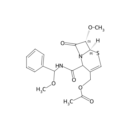 COC(NC(=O)C1C(COC(C)=O)=CS[C@@H]2[C@@H](OC)C(=O)N12)c1ccccc1